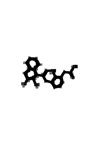 O=C(O)Cc1cccc2c1NC=C(c1c(O)c(O)cc3ccccc13)C2